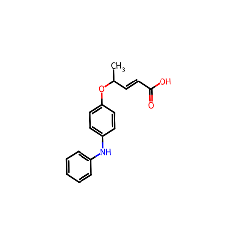 CC(C=CC(=O)O)Oc1ccc(Nc2ccccc2)cc1